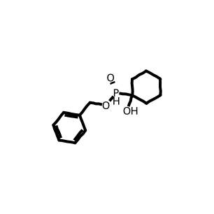 O=[PH](OCc1ccccc1)C1(O)CCCCC1